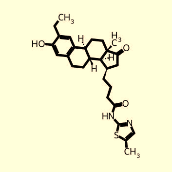 CCc1cc2c(cc1O)CC[C@H]1[C@@H]3[C@H](CCCC(=O)Nc4ncc(C)s4)CC(=O)[C@@]3(C)CC[C@H]21